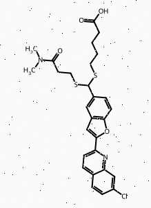 CN(C)C(=O)CCSC(SCCCCC(=O)O)c1ccc2oc(-c3ccc4ccc(Cl)cc4n3)cc2c1